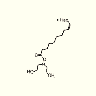 CCCCCC/C=C\CCCCCCCC(=O)ON(CCO)CCO